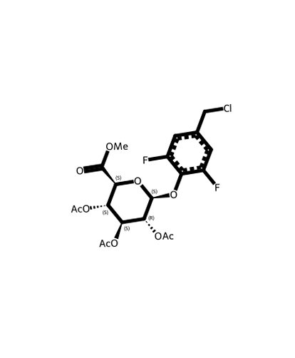 COC(=O)[C@H]1O[C@@H](Oc2c(F)cc(CCl)cc2F)[C@H](OC(C)=O)[C@@H](OC(C)=O)[C@@H]1OC(C)=O